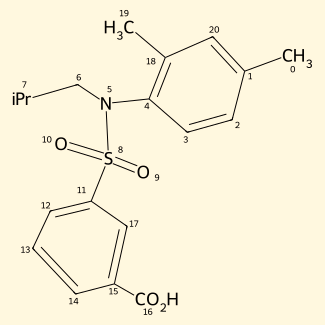 Cc1ccc(N(CC(C)C)S(=O)(=O)c2cccc(C(=O)O)c2)c(C)c1